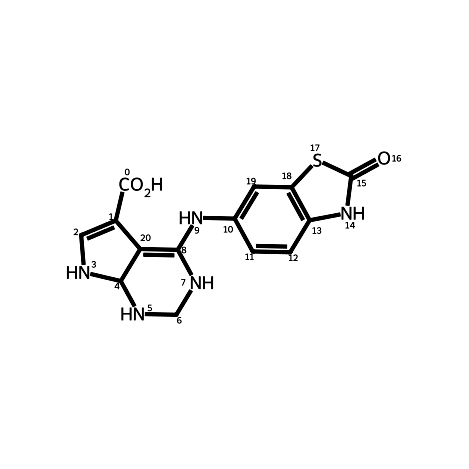 O=C(O)C1=CNC2NCNC(Nc3ccc4[nH]c(=O)sc4c3)=C12